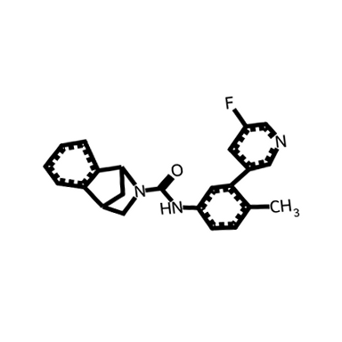 Cc1ccc(NC(=O)N2CC3CC2c2ccccc23)cc1-c1cncc(F)c1